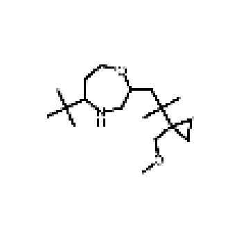 COCC1(C(C)(C)CC2CNC(C(C)(C)C)CCO2)CC1